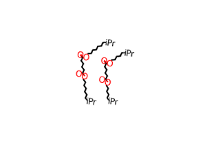 CC(C)CCCCCCCOC(=O)CCCCC(=O)OCCCCCCCC(C)C.CC(C)CCCCCOC(=O)CCCCC(=O)OCCCCCC(C)C